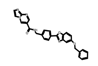 O=C(NCc1ccc(-c2nc3cc(OCc4ccccc4)ccc3o2)cc1)c1cnc2nccn2c1